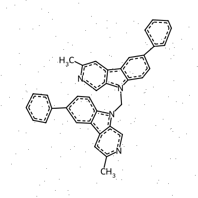 Cc1cc2c3cc(-c4ccccc4)ccc3n(Cn3c4ccc(-c5ccccc5)cc4c4cc(C)ncc43)c2cn1